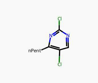 CCCCCc1nc(Cl)ncc1Cl